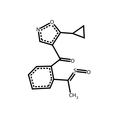 CC(=S=O)c1ccccc1C(=O)c1cnoc1C1CC1